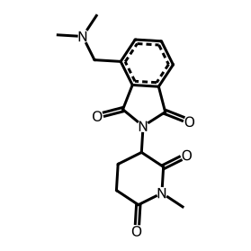 CN(C)Cc1cccc2c1C(=O)N(C1CCC(=O)N(C)C1=O)C2=O